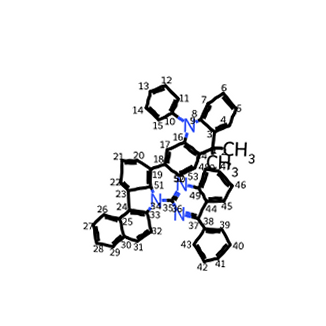 CC1(C)c2ccccc2N(c2ccccc2)c2cc(-c3cccc4c5c6ccccc6ccc5n(-c5nc(-c6ccccc6)c6ccccc6n5)c34)ccc21